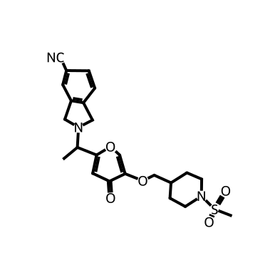 CC(c1cc(=O)c(OCC2CCN(S(C)(=O)=O)CC2)co1)N1Cc2ccc(C#N)cc2C1